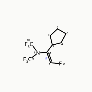 F/C=C(\C1CCCC1)N(C(F)(F)F)C(F)(F)F